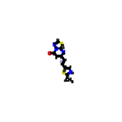 Cc1ncc(/C=C/c2cc(=O)n3ncsc3n2)s1